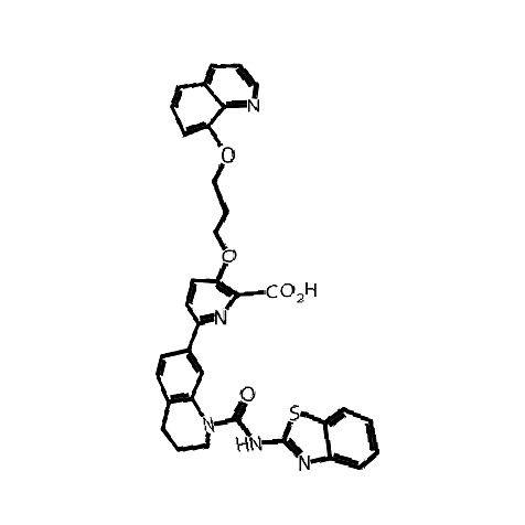 O=C(O)c1nc(-c2ccc3c(c2)N(C(=O)Nc2nc4ccccc4s2)CCC3)ccc1OCCCOc1cccc2cccnc12